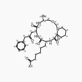 CCC(=O)CCCCC[C@@H]1NC(=O)[C@H]2CCCCN2COC[C@H]([C@H](C)CC)NC(=O)[C@H](CC(=O)Cc2ccccc2)NC1=O